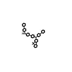 CC1(C)c2ccccc2-c2ccc(N(c3ccc(-c4ccccc4)cc3)c3ccc(-c4ccc(Nc5ccc(-c6ccccc6)cc5)cc4)cc3)cc21